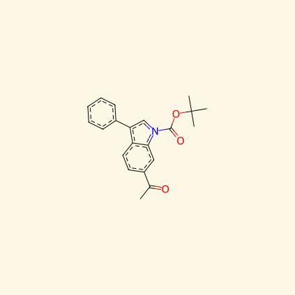 CC(=O)c1ccc2c(-c3ccccc3)cn(C(=O)OC(C)(C)C)c2c1